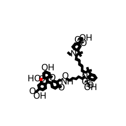 CC[N+]1=C(/C=C/C=C/C=C2/N(CCCCCC(=O)NCc3c4oc5cc(O)ccc5c(-c5ccc(C(=O)O)cc5C(=O)O)c-4ccc3=O)c3c(cccc3S(=O)(=O)O)C2(C)C)C(C)(C)c2cc(S(=O)(=O)O)ccc21